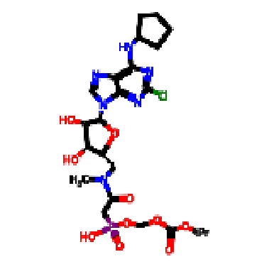 CC(C)OC(=O)OCOP(=O)(O)CC(=O)N(C)C[C@H]1O[C@@H](n2cnc3c(NC4CCCC4)nc(Cl)nc32)[C@H](O)[C@@H]1O